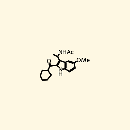 COc1ccc2[nH]c(C(=O)C3CCCCC3)c(C(C)NC(C)=O)c2c1